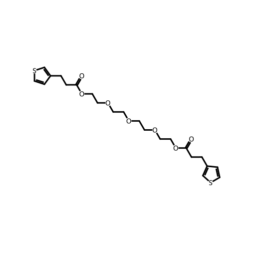 O=C(CCc1ccsc1)OCCOCCOCCOCCOC(=O)CCc1ccsc1